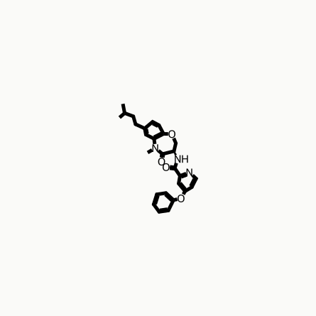 CC(C)CCc1ccc2c(c1)N(C)C(=O)[C@H](NC(=O)c1cc(Oc3ccccc3)ccn1)CO2